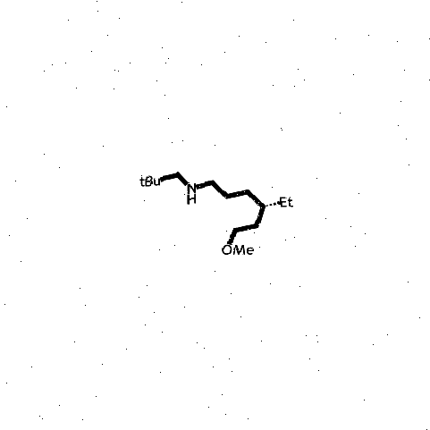 CC[C@@H](CCCNCC(C)(C)C)CCOC